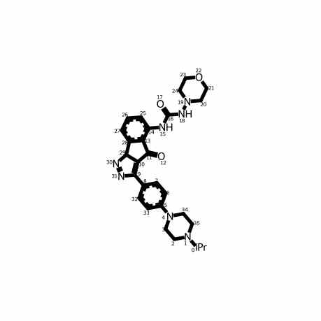 CC(C)N1CCN(c2ccc(C3=C4C(=O)c5c(NC(=O)NN6CCOCC6)cccc5C4N=N3)cc2)CC1